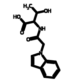 CC(O)C(NC(=O)Cn1ccc2ccccc21)C(=O)O